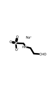 O=CCCNCS(=O)(=O)[O-].[Na+]